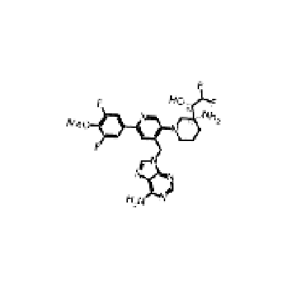 COc1c(F)cc(-c2cc(Cn3cnc4c(N)ncnc43)c(N3CCC[C@](N)([C@H](O)C(F)F)C3)cn2)cc1F